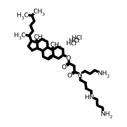 CC(C)CCCC(C)C1CCC2C3CC=C4CC(OC(=O)CC(=O)N(CCCN)CCCCNCCCN)CCC4(C)C3CCC12C.Cl.Cl.Cl